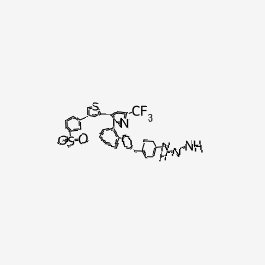 CS(=O)(=O)c1cccc(-c2csc(-c3cc(C(F)(F)F)nn3-c3ccccc3OCC3=CC=C(N/C=N\C=N)CC3)c2)c1